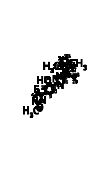 COc1ncc(F)c(-c2ccc(-c3ncc(N(C4CC4)[C@H]4C[C@]5(C)CC[C@@](C)(N5)[C@H]4F)nn3)c(O)c2)n1